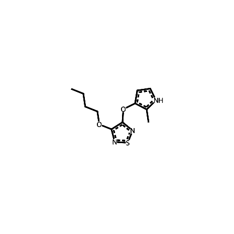 CCCCOc1nsnc1Oc1cc[nH]c1C